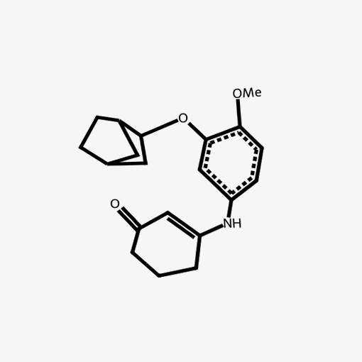 COc1ccc(NC2=CC(=O)CCC2)cc1OC1CC2CCC1C2